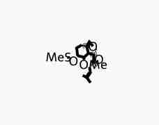 COC1C(OSC)CC[C@]2(CO2)C1[C@@]1(C)O[C@@H]1CC=C(C)C